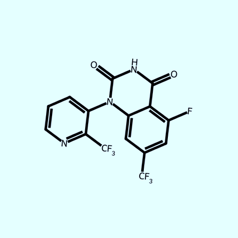 O=c1[nH]c(=O)n(-c2cccnc2C(F)(F)F)c2cc(C(F)(F)F)cc(F)c12